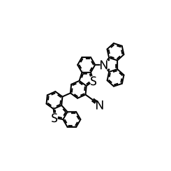 N#Cc1cc(-c2cccc3sc4ccccc4c23)cc2c1sc1c(-n3c4ccccc4c4ccccc43)cccc12